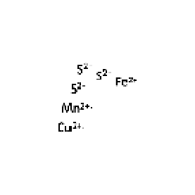 [Cu+2].[Fe+2].[Mn+2].[S-2].[S-2].[S-2]